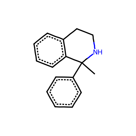 CC1(c2ccccc2)NCCc2ccccc21